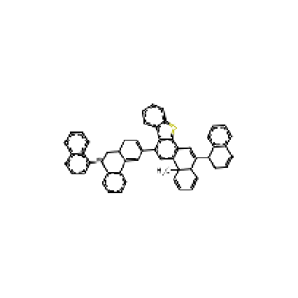 CC12C=CC=CC1C(C1CC=Cc3ccccc31)=Cc1c2cc(C2=CCC3C[C@H](c4cccc5ccccc45)c4ccccc4C3=C2)c2c1sc1ccccc12